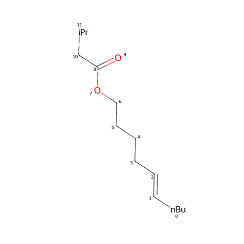 CCCCC=CCCCCOC(=O)CC(C)C